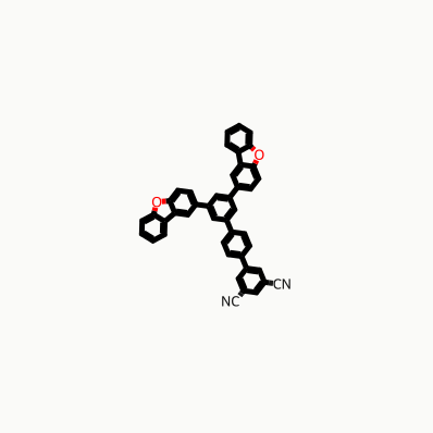 N#Cc1cc(C#N)cc(-c2ccc(-c3cc(-c4ccc5oc6ccccc6c5c4)cc(-c4ccc5oc6ccccc6c5c4)c3)cc2)c1